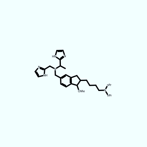 CCCN(CCC)CCCCC1Cc2cc(CN(Cc3ncc[nH]3)C(C)c3ncc[nH]3)ccc2C1OC